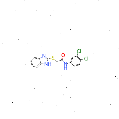 O=C(CSc1nc2ccccc2[nH]1)Nc1ccc(Cl)c(Cl)c1